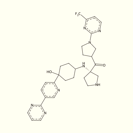 O=C(C1CCN(c2nccc(C(F)(F)F)n2)C1)[C@]1(NC2CCC(O)(c3ccc(-c4ncccn4)cn3)CC2)CCNC1